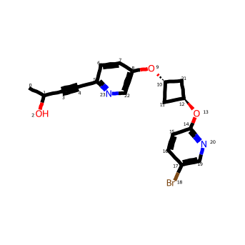 CC(O)C#Cc1ccc(O[C@H]2C[C@H](Oc3ccc(Br)cn3)C2)cn1